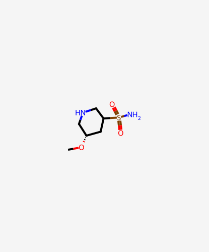 CO[C@@H]1CNCC(S(N)(=O)=O)C1